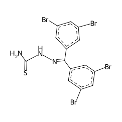 NC(=S)NN=C(c1cc(Br)cc(Br)c1)c1cc(Br)cc(Br)c1